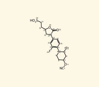 CCC1CC(OC#N)CCN1c1ccc(N2CC(CCS(=O)(=O)O)OC2=O)cc1F